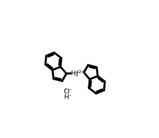 C1=C[CH]([Hf+2][CH]2C=Cc3ccccc32)c2ccccc21.[Cl-].[H-]